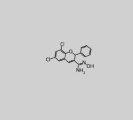 N/C(=N\O)C1=Cc2cc(Cl)cc(Cl)c2OC1c1ccccc1